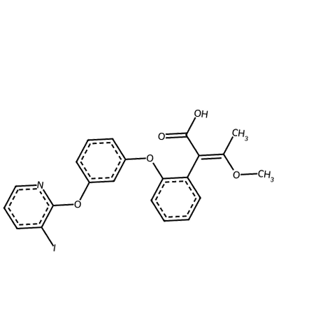 COC(C)=C(C(=O)O)c1ccccc1Oc1cccc(Oc2ncccc2I)c1